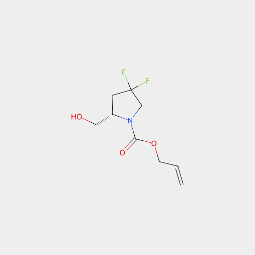 C=CCOC(=O)N1CC(F)(F)C[C@H]1CO